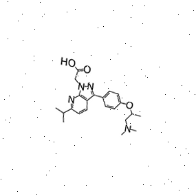 CC(CN(C)C)Oc1ccc(-c2nn(CC(=O)O)c3nc(C(C)C)ccc23)cc1